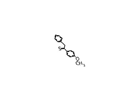 COc1ccc(C(=S)Cc2ccccc2)cc1